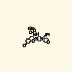 CC(C)CC1(N2CCN(C(=O)[C@@H](Cc3ccc(Cl)cc3)NC(=O)OC(C)(C)C)CC2)CCOCC1